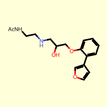 CC(=O)NCCNCC(O)COc1ccccc1-c1ccoc1